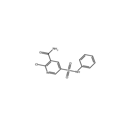 NC(=O)c1cc(S(=O)(=O)Nc2ccccc2)cnc1Cl